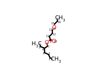 CCCCC(CC)COC(=O)CCCOCCC